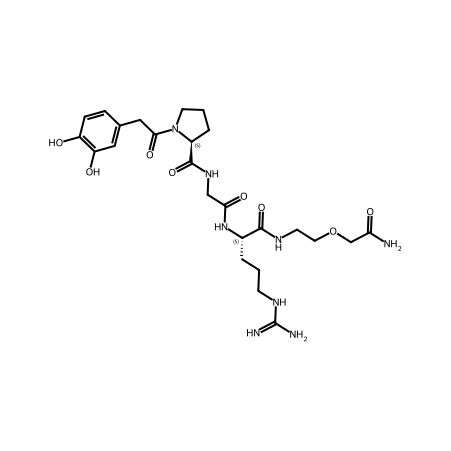 N=C(N)NCCC[C@H](NC(=O)CNC(=O)[C@@H]1CCCN1C(=O)Cc1ccc(O)c(O)c1)C(=O)NCCOCC(N)=O